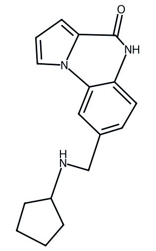 O=c1[nH]c2ccc(CNC3CCCC3)cc2n2cccc12